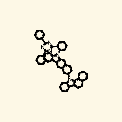 c1ccc(-c2nc(-c3ccccc3)nc(-c3ccccc3-n3c4ccccc4c4cc5cc(-n6c7ccccc7c7ccc8ccccc8c76)ccc5cc43)n2)cc1